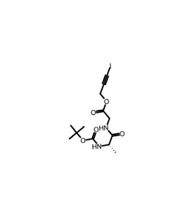 C[C@H](NC(=O)OC(C)(C)C)C(=O)NCC(=O)OCC#CI